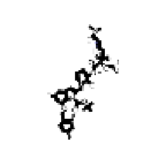 BC(B)(C/C=C/C(=O)N(C)C)C(OC=O)C(=O)Nc1cccn(Cc2cc3cc(F)cc(OCc4ccc(F)cc4F)c3n2C(=O)OC(C)(C)C)c1=O